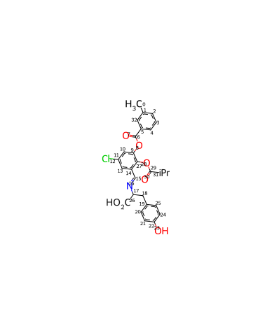 Cc1cccc(C(=O)Oc2cc(Cl)cc(C=NC(Cc3ccc(O)cc3)C(=O)O)c2OC(=O)C(C)C)c1